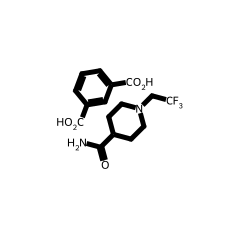 NC(=O)C1CCN(CC(F)(F)F)CC1.O=C(O)c1cccc(C(=O)O)c1